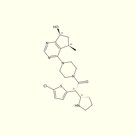 C[C@@H]1C[C@H](O)c2ncnc(N3CCN(C(=O)[C@@H](c4ccc(Cl)s4)[C@@H]4CCCN4)CC3)c21